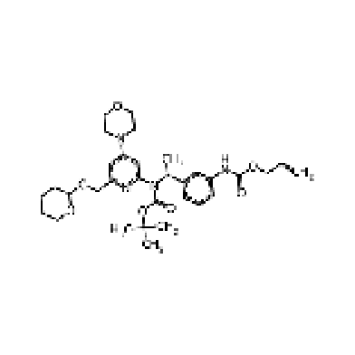 C=CCOC(=O)Nc1cccc(C(C)N(C(=O)OC(C)(C)C)c2cc(N3CCOCC3)cc(COC3CCCCO3)n2)c1